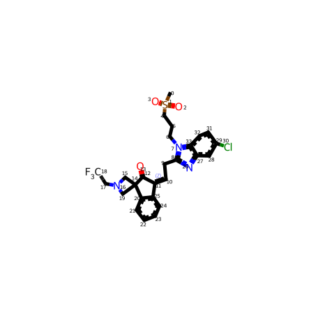 CS(=O)(=O)CCCn1c(C/C=C2\C(=O)C3(CN(CC(F)(F)F)C3)c3ccccc32)nc2cc(Cl)ccc21